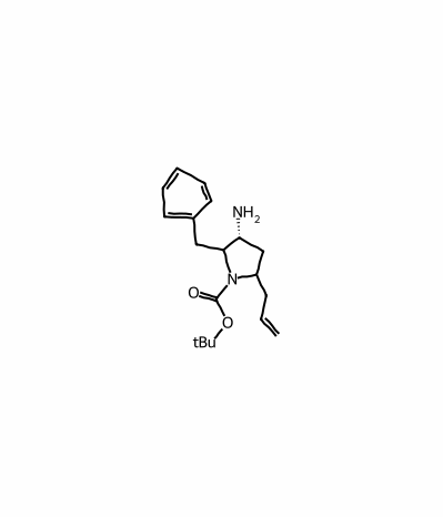 C=CCC1C[C@@H](N)C(Cc2ccccc2)N1C(=O)OC(C)(C)C